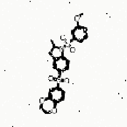 COc1cccc(S(=O)(=O)N2c3ccc(S(=O)(=O)c4ccc5c(c4)OCCO5)cc3CC2C)c1